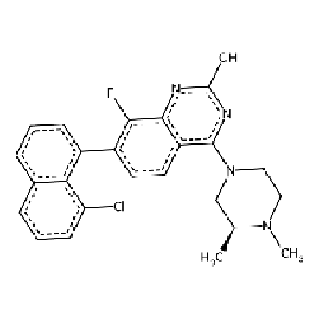 C[C@H]1CN(c2nc(O)nc3c(F)c(-c4cccc5cccc(Cl)c45)ccc23)CCN1C